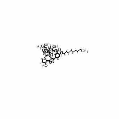 CCCCCCCCCOc1ccc(-c2noc(C3[C@@H](O)CCN3/C(=N/C(=O)OC(C)(C)C)NC(=O)OC(C)(C)C)n2)cc1C